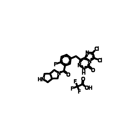 O=C(O)C(F)(F)F.O=C(c1cc(Cc2n[nH]c(=O)n3c(Cl)c(Cl)nc23)ccc1F)N1CC2CNCC2C1